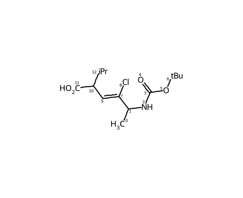 CC(NC(=O)OC(C)(C)C)C(Cl)=CC(C(=O)O)C(C)C